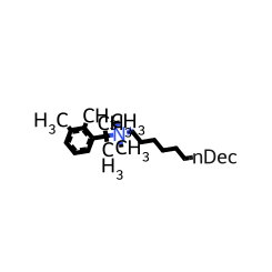 CCCCCCCCCCCCCCCC[N+](C)(C)C(C)(C)c1cccc(C)c1C